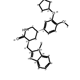 COc1ccc([C@H]2CNC(=O)[C@H](Cc3nc4ccccc4n3C)C2)cc1OC1CCCC1